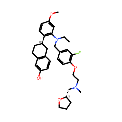 CCN(Cc1ccc(OCCN(C)C[C@@H]2CCCO2)c(F)c1)c1cc(OC)ccc1[C@@H]1CCc2cc(O)ccc2C1